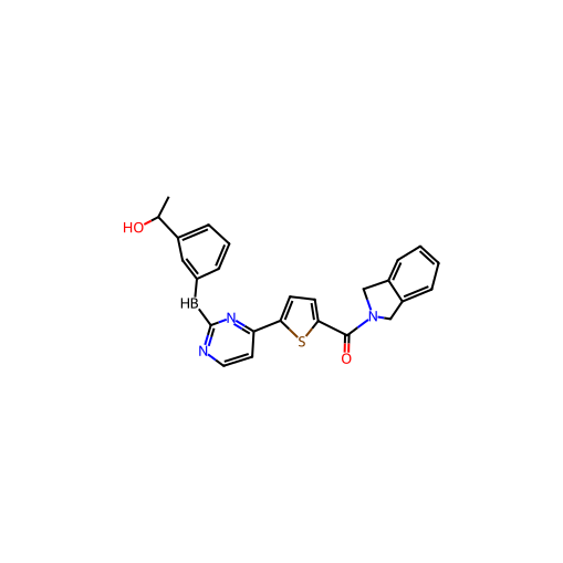 CC(O)c1cccc(Bc2nccc(-c3ccc(C(=O)N4Cc5ccccc5C4)s3)n2)c1